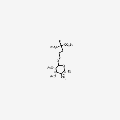 CCOC(=O)C(F)(CCCOC1O[C@H](CC)[C@@H](C)[C@H](OC(C)=O)[C@@H]1OC(C)=O)C(=O)OCC